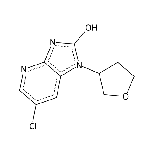 Oc1nc2ncc(Cl)cc2n1C1CCOC1